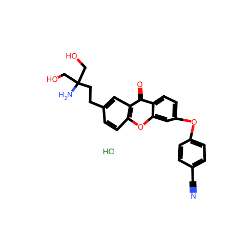 Cl.N#Cc1ccc(Oc2ccc3c(=O)c4cc(CCC(N)(CO)CO)ccc4oc3c2)cc1